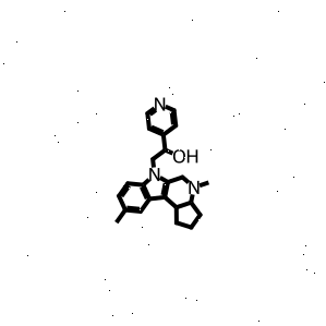 Cc1ccc2c(c1)c1c(n2CC(O)c2ccncc2)CN(C)C2CCCC12